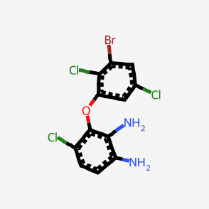 Nc1ccc(Cl)c(Oc2cc(Cl)cc(Br)c2Cl)c1N